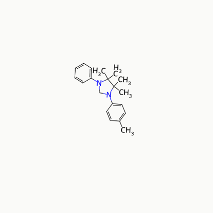 Cc1ccc(N2CN(c3ccccc3)C(C)(C)C2(C)C)cc1